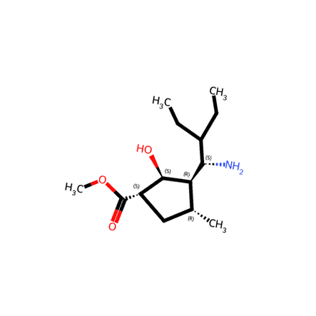 CCC(CC)[C@H](N)[C@@H]1[C@H](O)[C@@H](C(=O)OC)C[C@H]1C